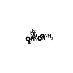 COc1ccccc1CN1N=C(C(F)(F)F)OC1Nc1ccc2nc(N)ccc2c1